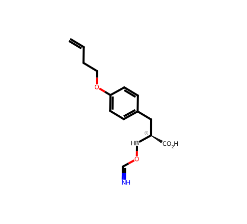 C=CCCOc1ccc(C[C@H](BOC=N)C(=O)O)cc1